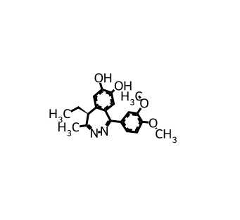 CC[C@@H]1C(C)=NN=C(c2ccc(OC)c(OC)c2)c2cc(O)c(O)cc21